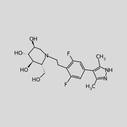 Cc1n[nH]c(C)c1-c1cc(F)c(CCN2C[C@H](O)[C@@H](O)[C@H](O)[C@H]2CO)c(F)c1